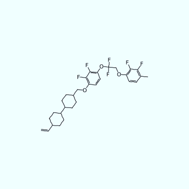 C=CC1CCC(C2CCC(COc3ccc(OC(F)(F)COc4ccc(C)c(F)c4F)c(F)c3F)CC2)CC1